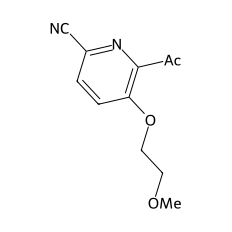 COCCOc1ccc(C#N)nc1C(C)=O